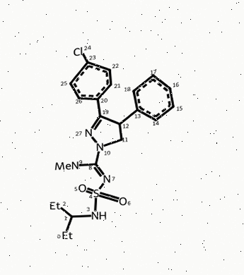 CCC(CC)NS(=O)(=O)N=C(NC)N1CC(c2ccccc2)C(c2ccc(Cl)cc2)=N1